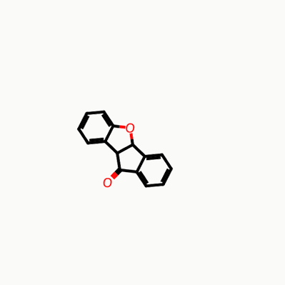 O=C1c2ccccc2C2Oc3ccccc3C12